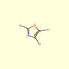 CCc1nc(CC)c(I)o1